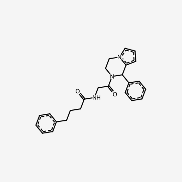 O=C(CCCc1ccccc1)NCC(=O)N1CCn2cccc2C1c1ccccc1